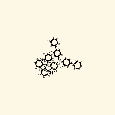 C1=CCCC(c2ccc(N(c3ccc(-c4ccccc4)cc3)c3ccc4c(c3)C3(c5ccccc5-c5ccccc53)C3C=CC=C[C@@H]43)cc2)=C1